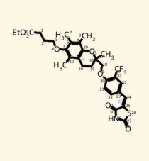 CCOC(=O)CCCOc1c(C)c(C)c2c(c1C)CCC(C)(COc1ccc(/C=C3/SC(=O)NC3=O)cc1C(F)(F)F)O2